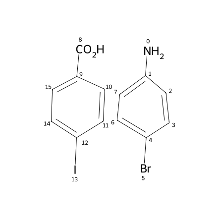 Nc1ccc(Br)cc1.O=C(O)c1ccc(I)cc1